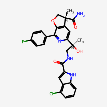 C[C@]1(C(N)=O)COc2c1cc([C@@](O)(CNC(=O)c1cc3c(Cl)cccc3[nH]1)C(F)(F)F)nc2-c1ccc(F)cc1